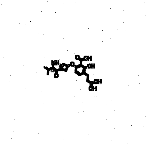 CC(C)[C@H](N)C(=O)N1CC(Oc2ccc(CCB(O)O)c(O)c2C(=O)O)C1